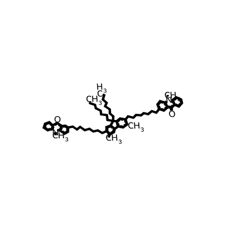 CCCCCCCCC1(CCCCCCCC)c2cc(CCCCCCCCc3ccc4c(c3)c(=O)c3ccccc3n4C)c(C)cc2-c2cc(C)c(CCCCCCCCc3ccc4c(c3)c(=O)c3ccccc3n4C)cc21